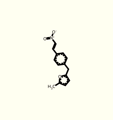 Cc1ccc(Cc2ccc(C=C[N+](=O)[O-])cc2)o1